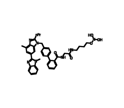 CCCc1nc2c(C)cc(-c3nc4ccccc4n3C)cc2n1Cc1ccc(-c2ccccc2C(=O)NCC(=O)NCCCCON(O)O)cc1